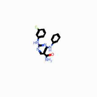 NC(=O)c1cnc(Nc2cccc(F)c2)nc1Nc1ccccc1